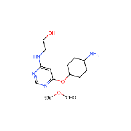 CC(C)(C)OC=O.NC1CCC(Oc2cc(NCCO)ncn2)CC1